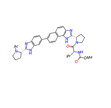 COC(=O)NC(C(=O)N1CCC[C@H]1c1nc2ccc3cc(-c4ccc5nc([C@@H]6CCCN6C(C)=O)[nH]c5c4)ccc3c2[nH]1)C(C)C